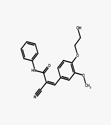 COc1cc(C=C(C#N)C(=O)Nc2ccccc2)ccc1OCCO